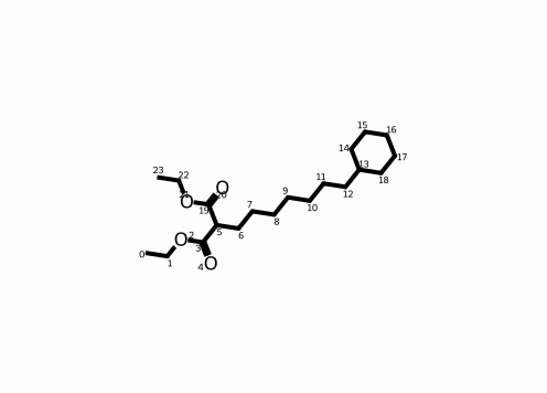 CCOC(=O)C(CCCCCCCC1CCCCC1)C(=O)OCC